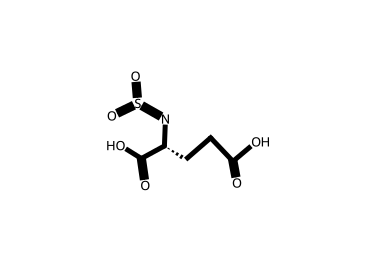 O=C(O)CC[C@@H](N=S(=O)=O)C(=O)O